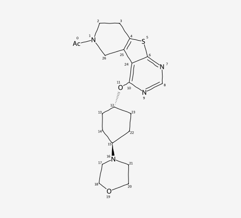 CC(=O)N1CCc2sc3ncnc(O[C@H]4CC[C@H](N5CCOCC5)CC4)c3c2C1